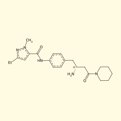 CCc1cc(C(=O)Nc2ccc(C[C@@H](N)CC(=O)N3CCCCC3)cc2)n(C)n1